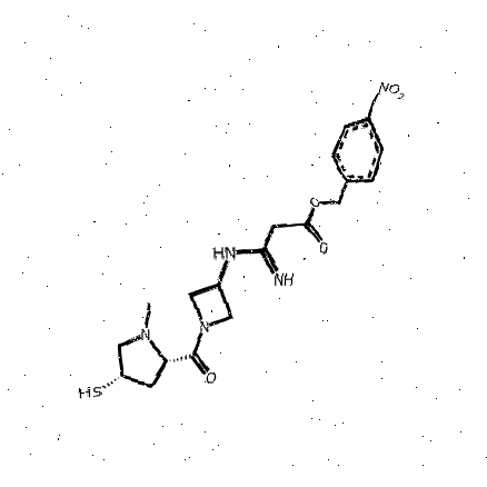 CN1C[C@@H](S)C[C@H]1C(=O)N1CC(NC(=N)CC(=O)OCc2ccc([N+](=O)[O-])cc2)C1